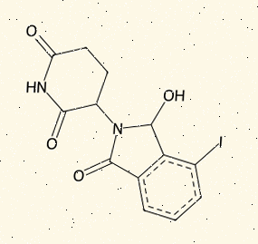 O=C1CCC(N2C(=O)c3cccc(I)c3C2O)C(=O)N1